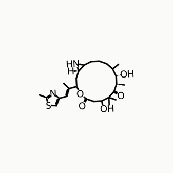 C/C(=C\c1csc(C)n1)C1C[C@@H]2NC2CCCC(C)[C@H](O)[C@@H](C)C(=O)C(C)(C)C(O)CC(=O)O1